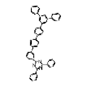 c1ccc(-c2cc(-c3ccccc3)cc(-c3ccc(-c4ccc(-c5cccc(-c6nc(-c7ccccc7)nc(-c7ccccc7)n6)c5)cc4)cc3)c2)cc1